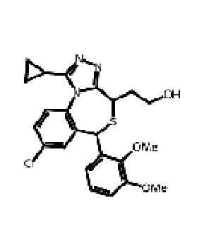 COc1cccc(C2SC(CCO)c3nnc(C4CC4)n3-c3ccc(Cl)cc32)c1OC